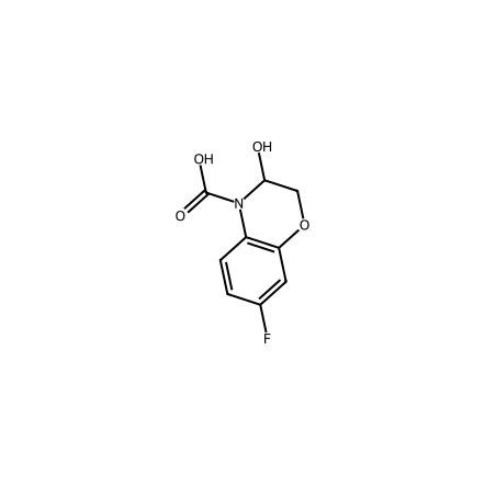 O=C(O)N1c2ccc(F)cc2OCC1O